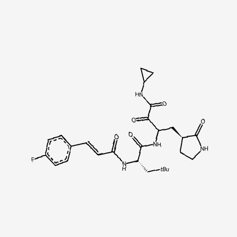 CC(C)(C)C[C@H](NC(=O)/C=C/c1ccc(F)cc1)C(=O)NC(C[C@@H]1CCNC1=O)C(=O)C(=O)NC1CC1